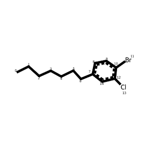 CCCCCCCc1ccc(Br)c(Cl)c1